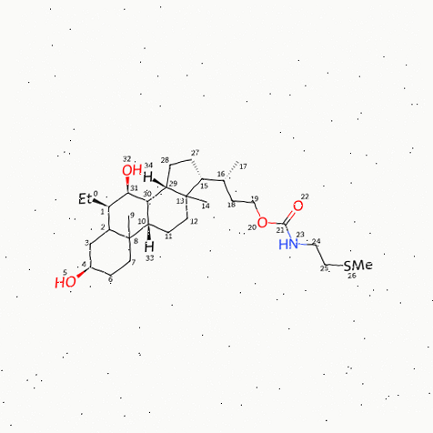 CC[C@@H]1C2C[C@H](O)CCC2(C)[C@H]2CCC3(C)[C@@H]([C@H](C)CCOC(=O)NCCSC)CC[C@H]3C2[C@@H]1O